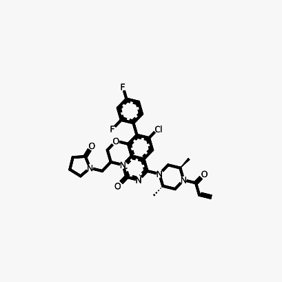 C=CC(=O)N1C[C@H](C)N(c2nc(=O)n3c4c(c(-c5ccc(F)cc5F)c(Cl)cc24)OCC3CN2CCCC2=O)C[C@H]1C